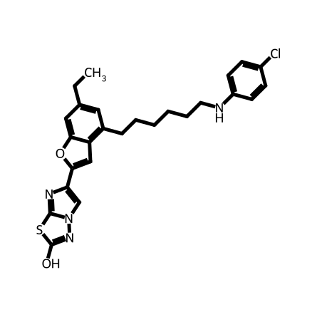 CCc1cc(CCCCCCNc2ccc(Cl)cc2)c2cc(-c3cn4nc(O)sc4n3)oc2c1